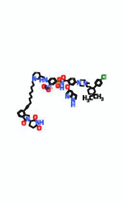 CC1(C)CCC(CN2CCN(c3ccc(C(=O)NS(=O)(=O)c4ccc(NCC5CCCN(CCCCCCCCC#Cc6cccc7c6CN(C6CCC(=O)NC6=O)C7=O)C5)c([N+](=O)[O-])c4)c(Oc4cnc5[nH]ccc5c4)c3)CC2)=C(c2ccc(Cl)cc2)C1